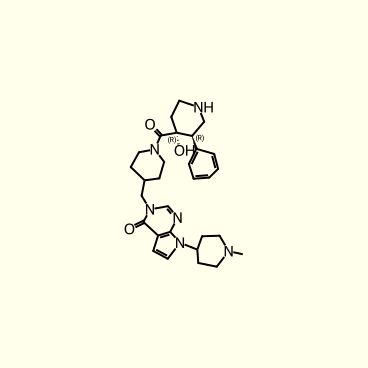 CN1CCC(n2ccc3c(=O)n(CC4CCN(C(=O)[C@@]5(O)CCNC[C@H]5c5ccccc5)CC4)cnc32)CC1